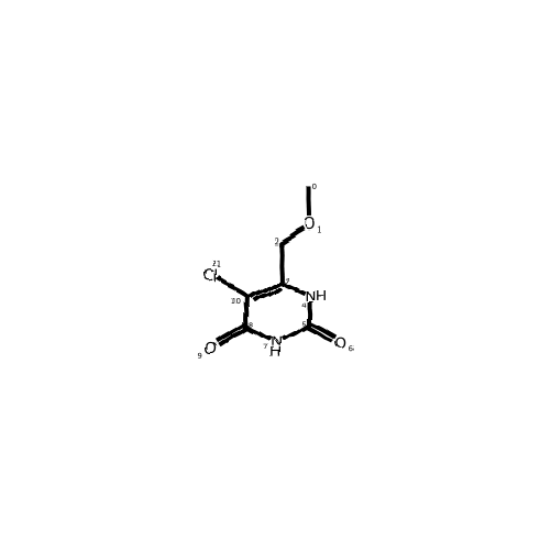 COCc1[nH]c(=O)[nH]c(=O)c1Cl